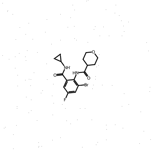 O=C(NC1CC1)c1cc(F)cc(Br)c1NC(=O)C1CCOCC1